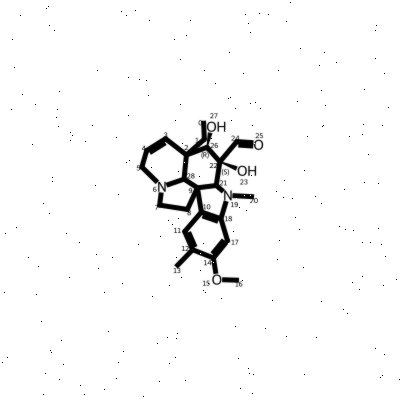 CCC12C=CCN3CCC4(c5cc(C)c(OC)cc5N(C)C4[C@@](O)(C=O)[C@@H]1O)C32